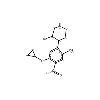 Cc1cc([N+](=O)[O-])c(OC2CC2)cc1C1CCNCC1O